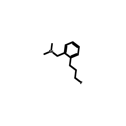 [CH3][Ga]([CH3])[CH2]c1ccccc1CCCF